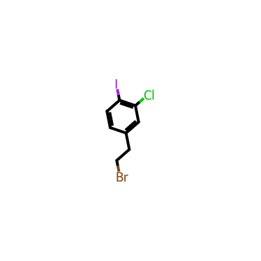 Clc1cc(CCBr)ccc1I